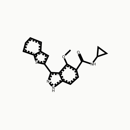 COc1c(C(=O)NC2CC2)ccc2[nH]nc(-c3cc4ccccc4s3)c12